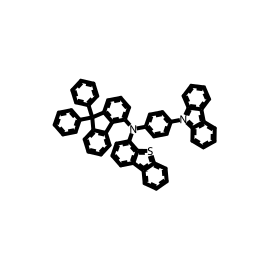 c1ccc(C2(c3ccccc3)c3ccccc3-c3c(N(c4ccc(-n5c6ccccc6c6ccccc65)cc4)c4cccc5c4sc4ccccc45)cccc32)cc1